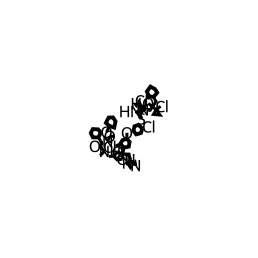 CC1COC(Cn2cncn2)(c2ccc(Oc3ccc(Cl)cc3)cc2Cl)O1.CNC(=O)/C(=N/OC)c1ccccc1Oc1ccccc1.OC(Cc1ccccc1Cl)(Cn1nc[nH]c1=S)C1(Cl)CC1